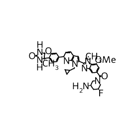 COc1cc(C(=O)N2C[C@H](N)C[C@@H](F)C2)cc2nc(-c3cc4ccc(-c5ccc(C6(C)NC(=O)NC6=O)cc5)nc4n3CC3CC3)n(C)c12